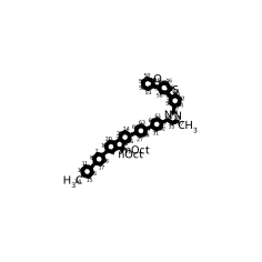 CCCCCCCCC1(CCCCCCCC)c2cc(-c3ccc(-c4ccc(C)cc4)cc3)ccc2-c2ccc(-c3ccc(-c4ccc(-c5cc(C)nc(-c6ccc7sc8cc9oc%10ccccc%10c9cc8c7c6)n5)cc4)cc3)cc21